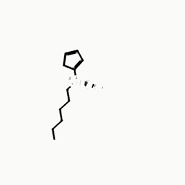 CCCCC[CH2][Mn](=[C]=O)[C]1=CC=CC1